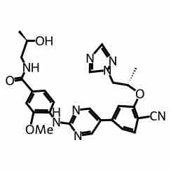 COc1cc(C(=O)NC[C@@H](C)O)ccc1Nc1ncc(-c2ccc(C#N)c(O[C@@H](C)Cn3cncn3)c2)cn1